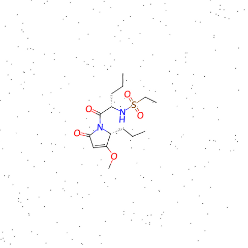 CCC[C@H](NS(=O)(=O)CC)C(=O)N1C(=O)C=C(OC)[C@H]1CCC